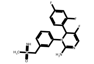 CS(=N)(=O)Cc1cccc(N2C(N)=NC=C(F)C2c2ccc(F)cc2F)c1